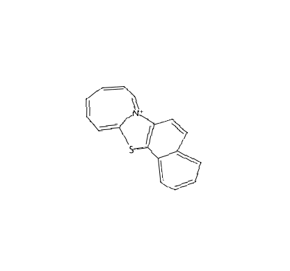 C1=C\C=[n+]2/c(sc3c4ccccc4ccc32)=C\C=C/1